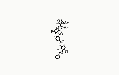 CC(=O)O[C@@H]1[C@H](OC(C)=O)[C@@H](C)O[C@H]1n1cc(F)c(=O)n(C(=O)c2cccc(C(=O)Oc3cc(OC(=O)c4ccccc4)c(Cl)cn3)c2)c1=O